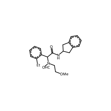 CCc1ccccc1C(C(=O)NC1Cc2ccccc2C1)N(C=O)CCOC